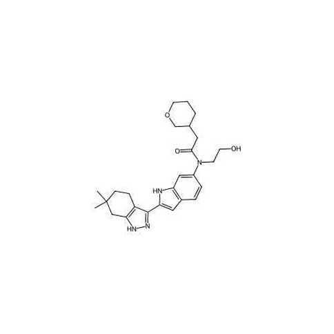 CC1(C)CCc2c(-c3cc4ccc(N(CCO)C(=O)CC5CCCOC5)cc4[nH]3)n[nH]c2C1